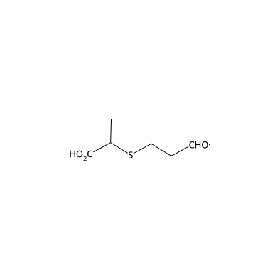 CC(SCC[C]=O)C(=O)O